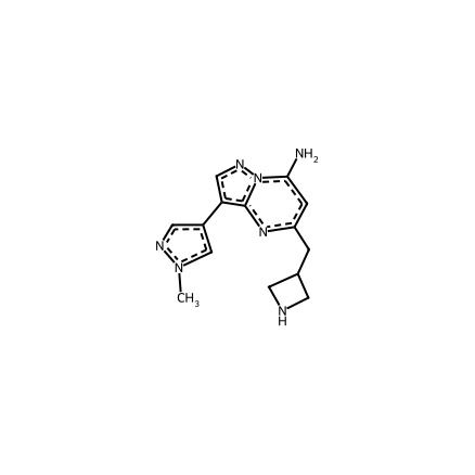 Cn1cc(-c2cnn3c(N)cc(CC4CNC4)nc23)cn1